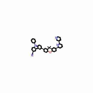 CC1(C)c2cc(-c3ccc4c(c3)c3cc(C#N)ccc3n4-c3ccccc3)ccc2Oc2ccc(-c3cccc(-c4cccnc4)n3)cc21